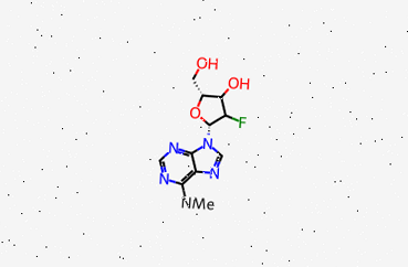 CNc1ncnc2c1ncn2[C@@H]1O[C@H](CO)C(O)C1F